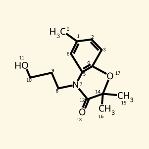 Cc1ccc2c(c1)N(CCCO)C(=O)C(C)(C)O2